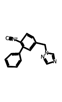 [C-]#[N+]c1ccc(Cn2cncn2)cc1-c1ccccc1